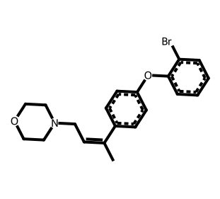 CC(=CCN1CCOCC1)c1ccc(Oc2ccccc2Br)cc1